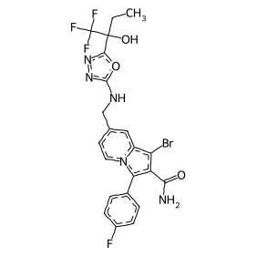 CCC(O)(c1nnc(NCc2ccn3c(-c4ccc(F)cc4)c(C(N)=O)c(Br)c3c2)o1)C(F)(F)F